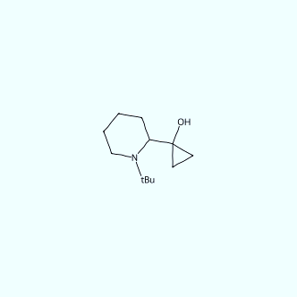 CC(C)(C)N1CCCCC1C1(O)CC1